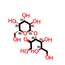 O=C(CO)[C@H](O[C@@H]1O[C@H](CO)[C@H](O)[C@H](O)[C@H]1O)[C@@H](O)[C@H](O)CO